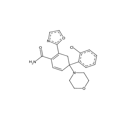 NC(=O)C1=C(c2ncco2)CC(c2ccccc2Cl)(N2CCOCC2)C=C1